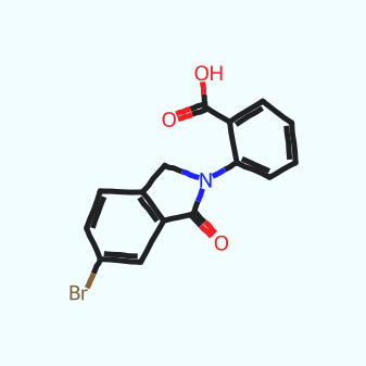 O=C(O)c1ccccc1N1Cc2ccc(Br)cc2C1=O